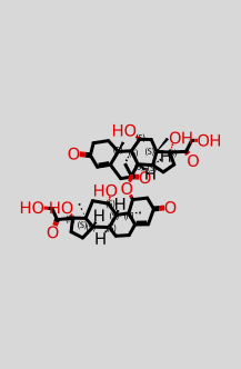 C[C@]12CCC(=O)C=C1CC[C@H]1[C@@H]3CC[C@](O)(C(=O)CO)[C@@]3(C)C[C@H](O)[C@@]12CC(=O)OC1CC(=O)C=C2CC[C@@H]3[C@H]([C@@H](O)C[C@@]4(C)[C@H]3CC[C@]4(O)C(=O)CO)[C@]21C